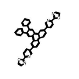 c1ccc(-c2cc3c4cc(-c5ccc(-c6ncco6)nc5)ccc4c4ccc(-c5ccc(-c6ncco6)nc5)cc4c3cc2-c2ccccc2)cc1